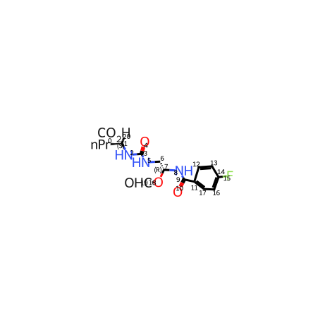 CCC[C@H](NC(=O)NC[C@H](NC(=O)c1ccc(F)cc1)OC=O)C(=O)O